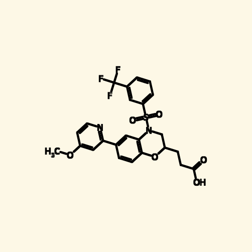 COc1ccnc(-c2ccc3c(c2)N(S(=O)(=O)c2cccc(C(F)(F)F)c2)CC(CCC(=O)O)O3)c1